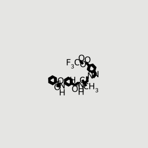 CC(C)(CCn1cnc2ccc(C(=O)OC(=O)C(F)(F)F)cc21)NCC(O)c1cccc(NS(=O)(=O)c2ccccc2)c1